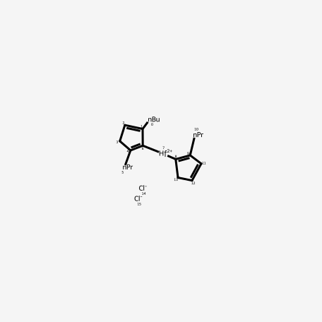 CCCCC1=CCC(CCC)=[C]1[Hf+2][C]1=C(CCC)C=CC1.[Cl-].[Cl-]